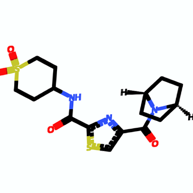 O=C(NC1CCS(=O)(=O)CC1)c1nc(C(=O)N2[C@H]3CC[C@H]2CC3)cs1